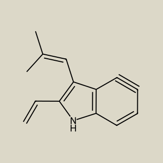 C=Cc1[nH]c2ccc#cc2c1C=C(C)C